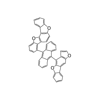 c1ccc2c(c1)oc1c(-c3c4ccccc4c(-c4cccc5oc6c(ccc7oc8ccccc8c76)c45)c4ccccc34)c3ccoc3cc12